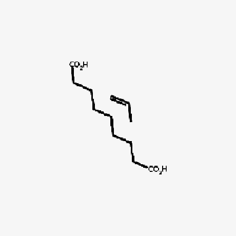 C=CC.O=C(O)CCCCCCCC(=O)O